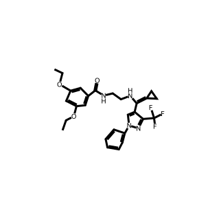 CCOc1cc(OCC)cc(C(=O)NCCNC(=C2CC2)c2cn(-c3ccccc3)nc2C(F)(F)F)c1